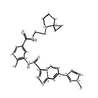 Cc1ncc(C(=O)NCCN2CCCC23CC3)cc1NC(=O)c1nnc2cc(-c3cnn(C)c3)ccn12